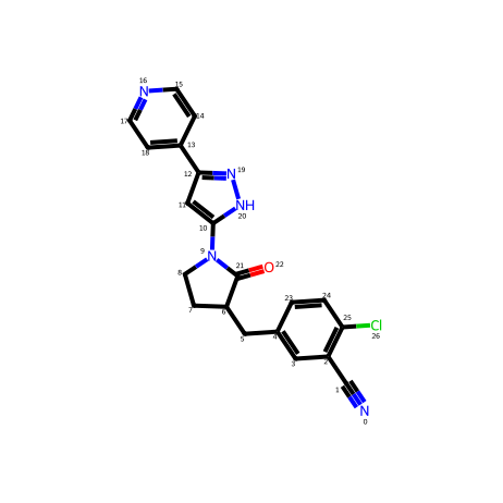 N#Cc1cc(CC2CCN(c3cc(-c4ccncc4)n[nH]3)C2=O)ccc1Cl